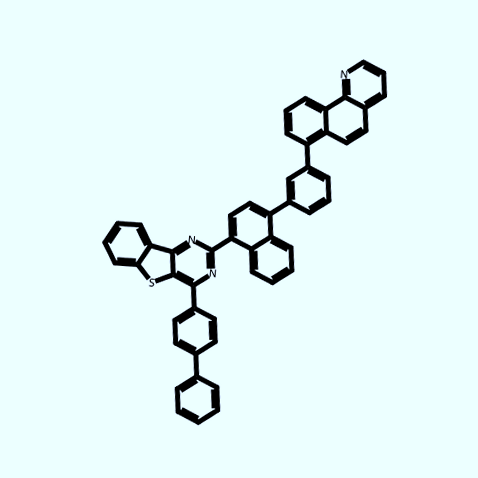 c1ccc(-c2ccc(-c3nc(-c4ccc(-c5cccc(-c6cccc7c6ccc6cccnc67)c5)c5ccccc45)nc4c3sc3ccccc34)cc2)cc1